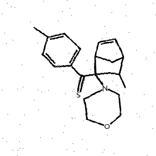 Cc1ccc(C(=S)C2(N3CCOCC3)C3C=CC(C3)C2C)cc1